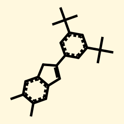 Cc1cc2c(cc1C)CC(c1cc(C(C)(C)C)cc(C(C)(C)C)c1)=C2